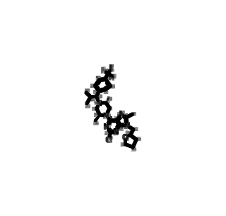 Cc1nc2c(N3C[C@@H](C)N(C(c4ccc(C(F)(F)F)cc4)C(C)C)C[C@@H]3C)nc(Cl)nc2n1CC1CCCO1